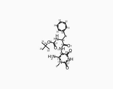 Cn1c(N)c(NC(=O)C(Cc2ccccc2)NC(=O)OC(C)(C)C)c(=O)[nH]c1=O